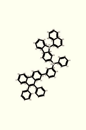 c1ccc(-c2c(-c3ccccc3)c3cc(-c4cccc(N(c5ccccc5)c5ccc6c7ccccc7n(-c7cccc8ccccc78)c6c5)c4)ccc3c3ccccc23)cc1